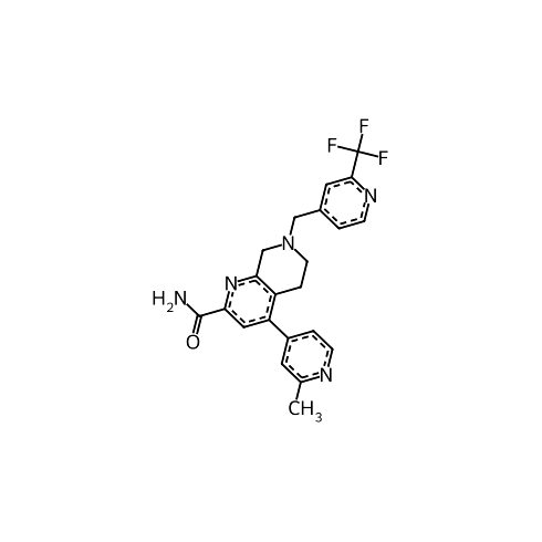 Cc1cc(-c2cc(C(N)=O)nc3c2CCN(Cc2ccnc(C(F)(F)F)c2)C3)ccn1